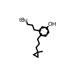 CC(C)(C)CCCc1cc(O)ccc1CCCC1(C)CC1